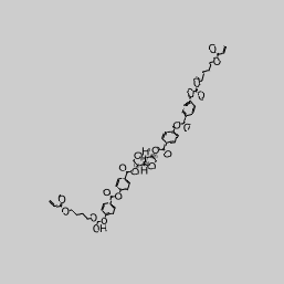 C=CC(=O)OCCCCOC(=O)Oc1ccc(C(=O)Oc2ccc(C(=O)O[C@@H]3CO[C@H]4[C@@H]3OC[C@@H]4OC(=O)c3ccc(OC(=O)c4ccc(OC(O)OCCCCOC(=O)C=C)cc4)cc3)cc2)cc1